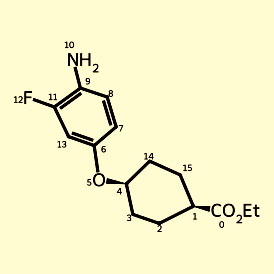 CCOC(=O)[C@H]1CC[C@@H](Oc2ccc(N)c(F)c2)CC1